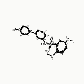 COc1ccc(OC)c(S(=O)(=O)Nc2cncc(-c3ccc(F)cc3)c2)c1